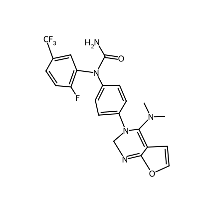 CN(C)C1=c2ccoc2=NCN1c1ccc(N(C(N)=O)c2cc(C(F)(F)F)ccc2F)cc1